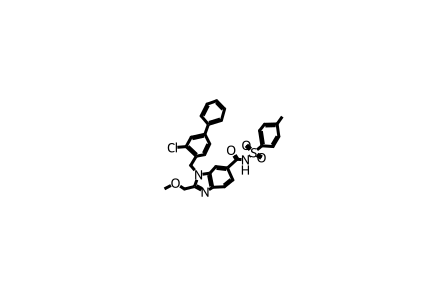 COCc1nc2ccc(C(=O)NS(=O)(=O)c3ccc(C)cc3)cc2n1Cc1ccc(-c2ccccc2)cc1Cl